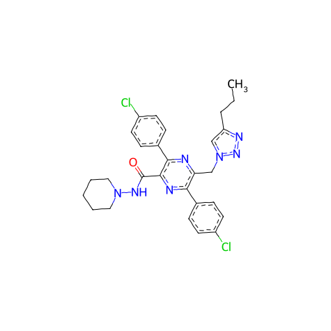 CCCc1cn(Cc2nc(-c3ccc(Cl)cc3)c(C(=O)NN3CCCCC3)nc2-c2ccc(Cl)cc2)nn1